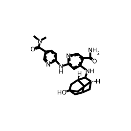 CN(C)C(=O)c1ccc(Nc2cc(NC3[C@@H]4CC5C[C@H]3CC(O)(C5)C4)c(C(N)=O)cn2)nc1